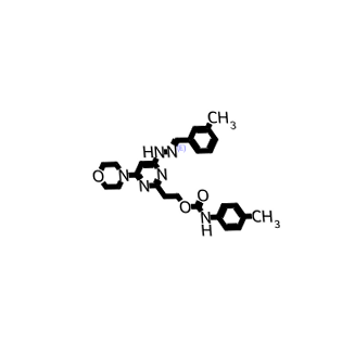 Cc1ccc(NC(=O)OCCc2nc(N/N=C/c3cccc(C)c3)cc(N3CCOCC3)n2)cc1